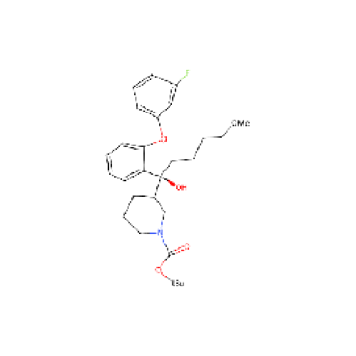 COCCCC[C@@](O)(c1ccccc1Oc1cccc(F)c1)C1CCCN(C(=O)OC(C)(C)C)C1